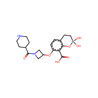 O=C(O)c1c(OC2CN(C(=O)C3CCNCC3)C2)ccc2c1O[B-](O)(O)CC2